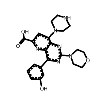 O=C(O)c1cc(N2CCNCC2)c2nc(N3CCOCC3)nc(-c3cccc(O)c3)c2n1